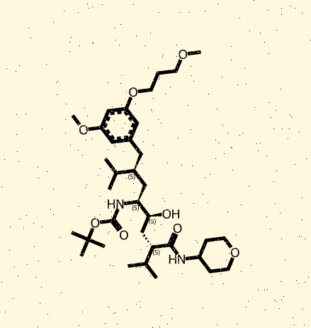 COCCCOc1cc(C[C@@H](C[C@H](NC(=O)OC(C)(C)C)[C@@H](O)C[C@H](C(=O)NC2CCOCC2)C(C)C)C(C)C)cc(OC)c1